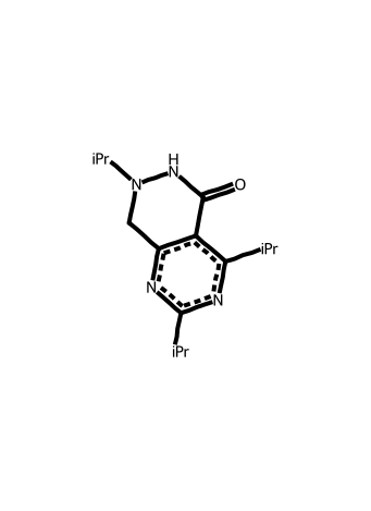 CC(C)c1nc2c(c(C(C)C)n1)C(=O)NN(C(C)C)C2